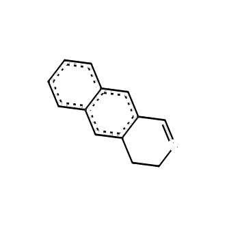 C1=NCCc2cc3ccccc3cc21